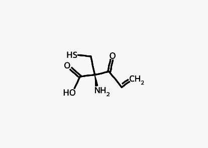 C=CC(=O)[C@@](N)(CS)C(=O)O